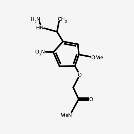 CNC(=O)COc1cc([N+](=O)[O-])c(C(C)NN)cc1OC